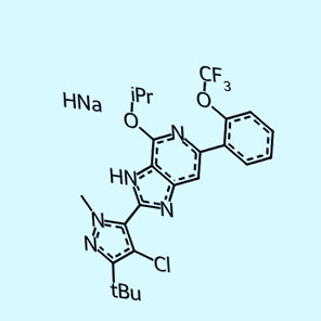 CC(C)Oc1nc(-c2ccccc2OC(F)(F)F)cc2nc(-c3c(Cl)c(C(C)(C)C)nn3C)[nH]c12.[NaH]